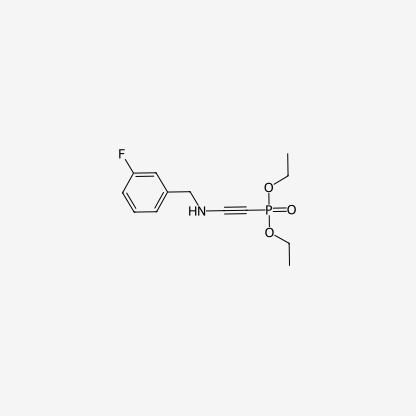 CCOP(=O)(C#CNCc1cccc(F)c1)OCC